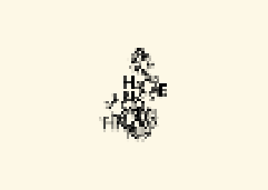 Cc1ccc(NC(=O)c2cc(F)cc(N3CCOCC3)c2)cc1Nc1ncnc(Cl)c1N